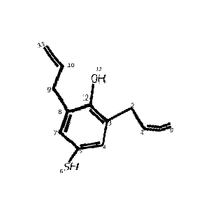 C=CCc1cc(S)cc(CC=C)c1O